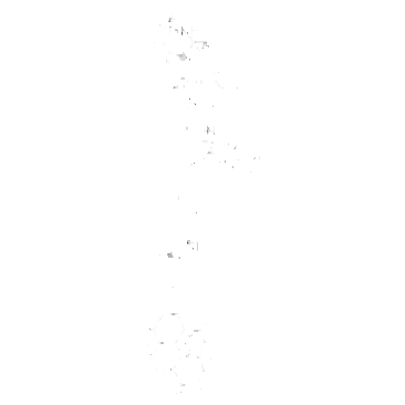 CCOC(=O)CN(CC(COCCCCCNC(=O)CCCc1ccc2ccc3cccc4ccc1c2c34)NC(=O)OC(C)(C)C)C(=O)Cn1ccc(=O)[nH]c1=O